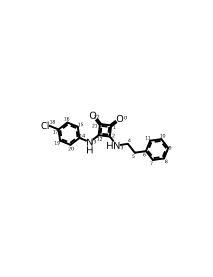 O=c1c(NCCc2ccccc2)c(Nc2ccc(Cl)cc2)c1=O